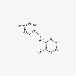 NC1=C(NCc2ccc(C(F)(F)F)cc2)[CH]CC=C1